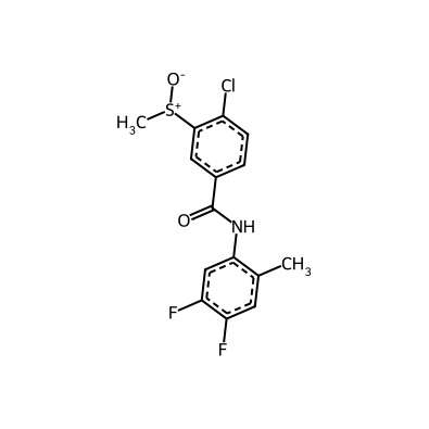 Cc1cc(F)c(F)cc1NC(=O)c1ccc(Cl)c([S+](C)[O-])c1